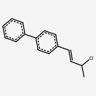 CC(Cl)C=Cc1ccc(-c2ccccc2)cc1